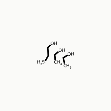 CCO.CCO.OCC[SiH3]